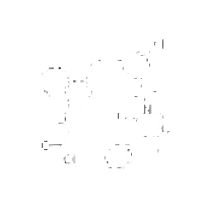 CC1=C(c2ccccc2)C(=O)N(C(C)(C)c2cc(Cl)cc(Cl)c2)CO1.O=C(O)COc1ccc(Cl)c2cccnc12